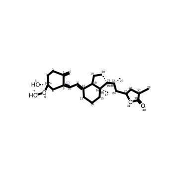 C=C1CC[C@](O)(OO)C/C1=C/C=C1CCC[C@@]2(C)C1CC[C@@H]2[C@H](C)CC1CC(C)C(=O)O1